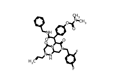 C=CCN1CC(=O)N2C(CN(Cc3ccc(F)cc3F)C(=O)C2C(C(=O)NCc2ccccc2)c2ccc(OC(=O)N(C)C)cc2)N1